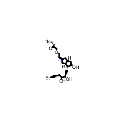 CCC#CC[C@H](C)[C@H](O)C#C[C@@H]1[C@H]2C/C(=C/COCC(=O)OC(C)(C)C)C[C@H]2C[C@H]1O